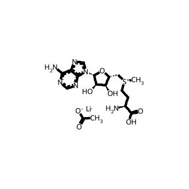 CC(=O)[O-].C[S+](CC[C@H](N)C(=O)O)C[C@H]1O[C@@H](n2cnc3c(N)ncnc32)[C@H](O)[C@@H]1O.[Li]